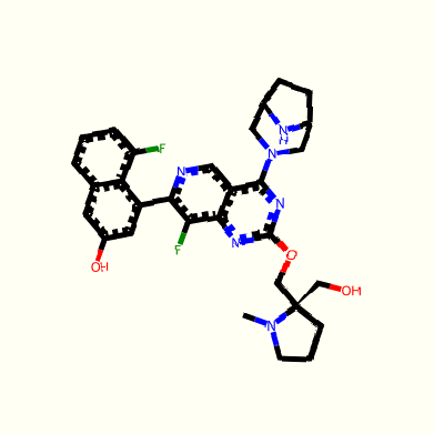 CN1CCC[C@@]1(CO)COc1nc(N2CC3CCC(C2)N3)c2cnc(-c3cc(O)cc4cccc(F)c34)c(F)c2n1